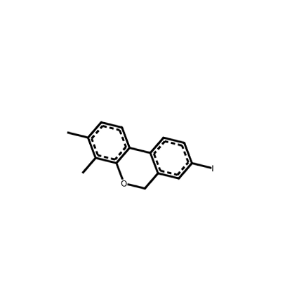 Cc1ccc2c(c1C)OCc1cc(I)ccc1-2